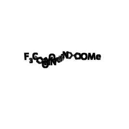 COc1ccc(C2CCN(C[C@H]3CC[C@@H](NC(=O)C4=Cc5cc(C(F)(F)F)ccc5OC4)C3)CC2)cc1